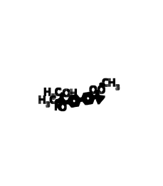 CCOC(=O)C1(c2ccc(-c3ccc(-c4onc(C)c4C(C)O)cc3)cc2)CC1